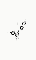 CC(=O)N1CCN(c2ccc(OCC3COC(Cn4cncn4)(c4ccc(Cl)cc4Cl)O3)cc2)C(C)C1